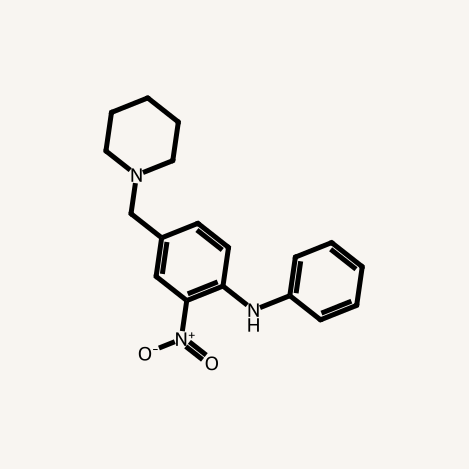 O=[N+]([O-])c1cc(CN2CCCCC2)ccc1Nc1ccccc1